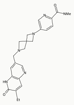 CCc1cc2ncc(CN3CC4(C3)CN(c3ccc(C(=O)NC)nc3)C4)cc2[nH]c1=O